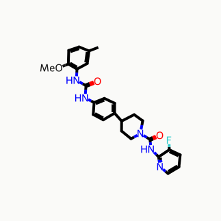 COc1ccc(C)cc1NC(=O)Nc1ccc(C2CCN(C(=O)Nc3ncccc3F)CC2)cc1